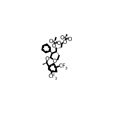 C[C@@H](O[C@H]1OCC[C@@H]([C@@H](CCOS(C)(=O)=O)OS(C)(=O)=O)[C@@H]1c1ccccc1)c1cc(C(F)(F)F)cc(C(F)(F)F)c1